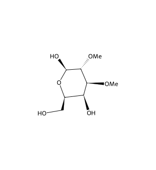 CO[C@@H]1[C@@H](OC)[C@@H](O)[C@@H](CO)O[C@H]1O